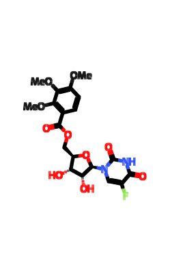 COc1ccc(C(=O)OC[C@H]2O[C@@H](n3cc(F)c(=O)[nH]c3=O)[C@H](O)[C@@H]2O)c(OC)c1OC